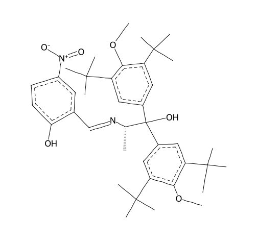 COc1c(C(C)(C)C)cc(C(O)(c2cc(C(C)(C)C)c(OC)c(C(C)(C)C)c2)[C@H](C)N=Cc2cc([N+](=O)[O-])ccc2O)cc1C(C)(C)C